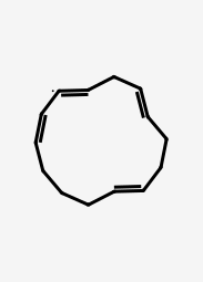 [C]1=C/C/C=C/CC/C=C/CCC\C=C/1